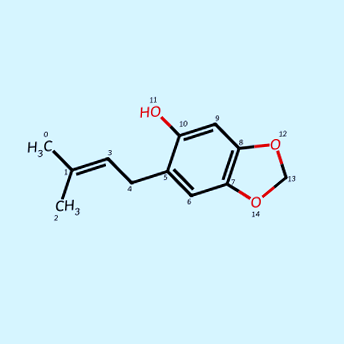 CC(C)=CCc1cc2c(cc1O)OCO2